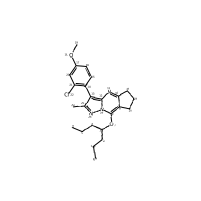 CCCC(CCC)Oc1c2c(nc3c(-c4ccc(OC)cc4Cl)c(C)nn13)CCC2